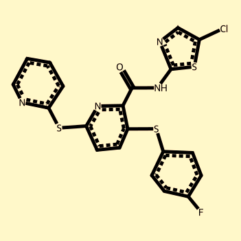 O=C(Nc1n[c]c(Cl)s1)c1nc(Sc2ccccn2)ccc1Sc1ccc(F)cc1